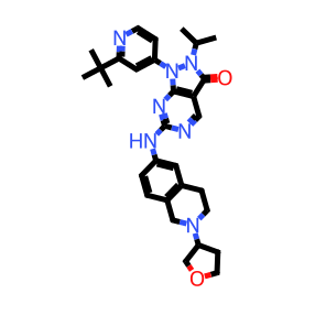 CC(C)n1c(=O)c2cnc(Nc3ccc4c(c3)CCN(C3CCOC3)C4)nc2n1-c1ccnc(C(C)(C)C)c1